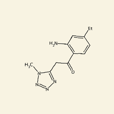 CCc1ccc(C(=O)Cc2nnnn2C)c(N)c1